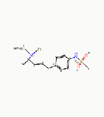 CCCCCCCN(CC)C(C)CCCc1ccc(NS(C)(=O)=O)cc1